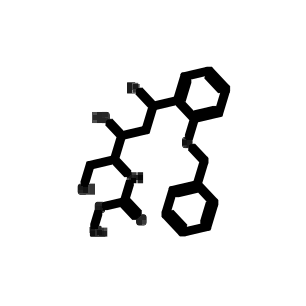 CCC(CC(O)C(CO)NC(=O)OC(C)(C)C)c1ccccc1OCc1ccccc1